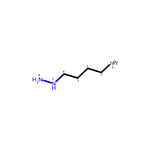 CCCCCCCNN